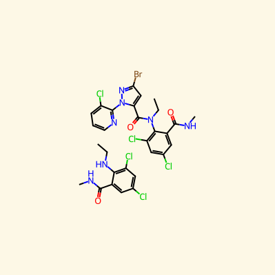 CCN(C(=O)c1cc(Br)nn1-c1ncccc1Cl)c1c(Cl)cc(Cl)cc1C(=O)NC.CCNc1c(Cl)cc(Cl)cc1C(=O)NC